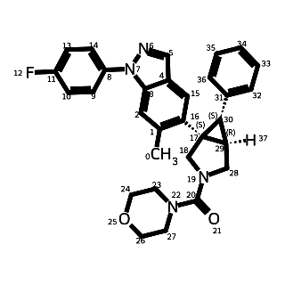 Cc1cc2c(cnn2-c2ccc(F)cc2)cc1[C@@]12CN(C(=O)N3CCOCC3)C[C@@H]1[C@H]2c1ccccc1